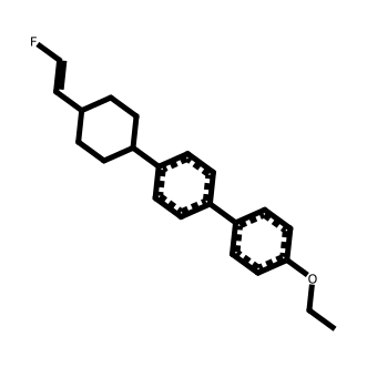 CCOc1ccc(-c2ccc(C3CCC(C=CF)CC3)cc2)cc1